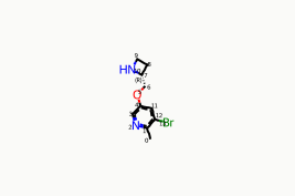 Cc1ncc(OC[C@H]2CCN2)cc1Br